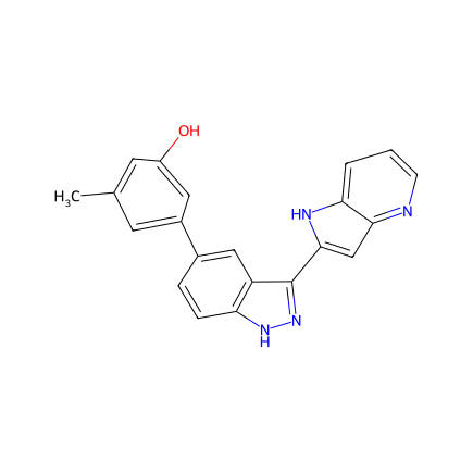 Cc1cc(O)cc(-c2ccc3[nH]nc(-c4cc5ncccc5[nH]4)c3c2)c1